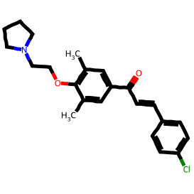 Cc1cc(C(=O)/C=C/c2ccc(Cl)cc2)cc(C)c1OCCN1CCCC1